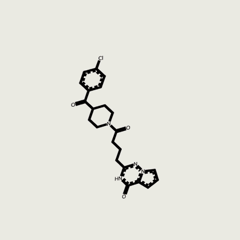 O=C(c1ccc(Cl)cc1)C1CCN(C(=O)CCCc2nn3cccc3c(=O)[nH]2)CC1